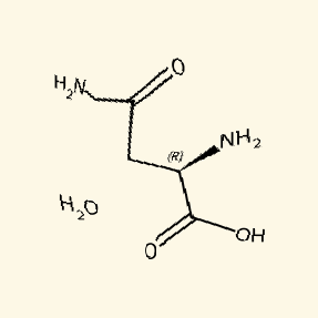 NC(=O)C[C@@H](N)C(=O)O.O